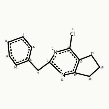 Clc1nc(Cc2ccccc2)nc2c1CCC2